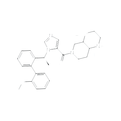 COc1ccccc1-c1ccccc1[C@H](C)n1cncc1C(=O)N1CC[C@@H]2NCCO[C@@H]2C1